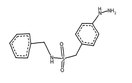 NNc1ccc(CS(=O)(=O)NCc2ccccc2)cc1